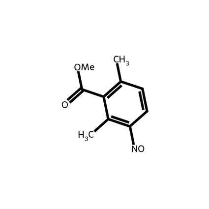 COC(=O)c1c(C)ccc(N=O)c1C